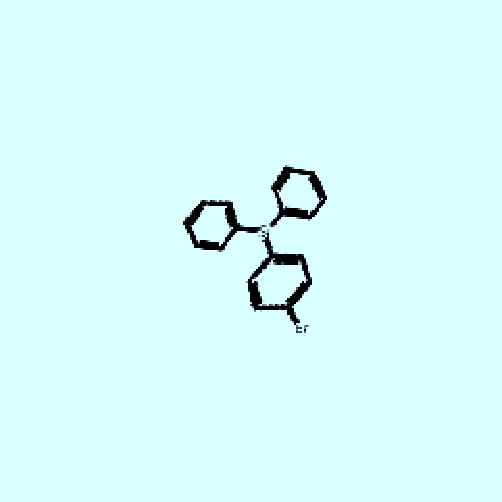 Brc1ccc([Si](c2ccccc2)c2ccccc2)cc1